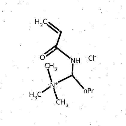 C=CC(=O)NC(CCC)[N+](C)(C)C.[Cl-]